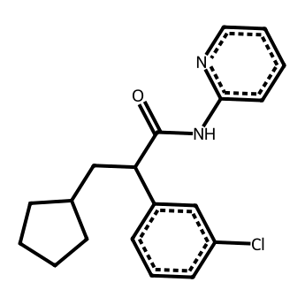 O=C(Nc1ccccn1)C(CC1CCCC1)c1cccc(Cl)c1